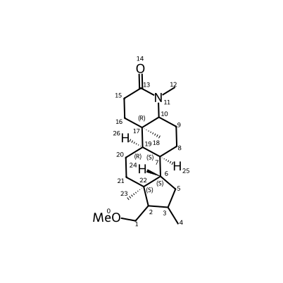 COCC1C(C)C[C@H]2[C@@H]3CCC4N(C)C(=O)CC[C@]4(C)[C@@H]3CC[C@]12C